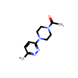 CC(=O)N1CCN(c2ccc(C)nn2)CC1